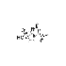 Cc1cc(C(F)F)n2ccc(C(=O)O)c2n1